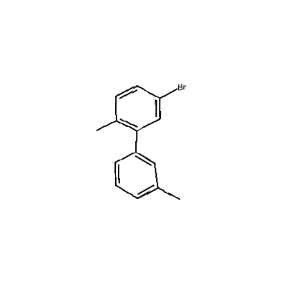 Cc1cc[c]c(-c2cc(Br)ccc2C)c1